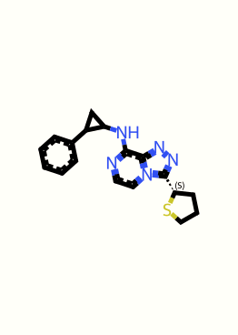 c1ccc(C2CC2Nc2nccn3c([C@@H]4CCCS4)nnc23)cc1